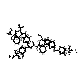 CCN1N=C(N(C)C(=O)CN(c2ccc(S(N)(=O)=O)c(F)c2)c2ncc3cc4n(c3n2)C2(CCCCC2)C(N(C)C(C)=O)=NN4C(C)C)C2(CCCCC2)n2c1cc1cnc(Nc3ccc(S(N)(=O)=O)c(F)c3)nc12